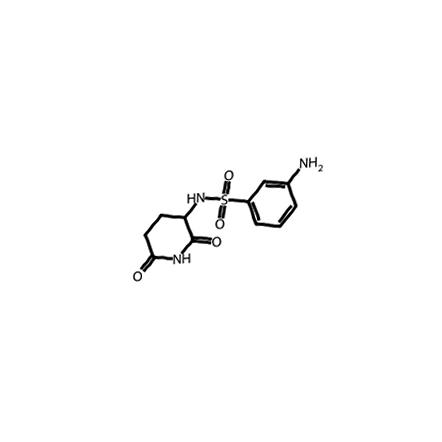 Nc1cccc(S(=O)(=O)NC2CCC(=O)NC2=O)c1